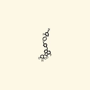 N#Cc1ccc(N2CCN(Cc3ccc(Cc4ccc5c6c(c(F)ccc46)C(=O)N5C4CCC(=O)NC4=O)cc3)CC2)c(F)c1